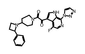 O=C(C(=O)N1CCC(N2CCC2c2ccccc2)CC1)c1c[nH]c2c(-n3ccnn3)ncc(F)c12